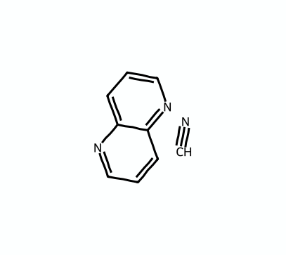 C#N.c1cnc2cccnc2c1